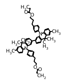 C=CC(=O)OCCCc1ccc(N2c3cc(-c4ccc5c(c4)N(c4ccc(CCCOC(=O)C=C)cc4)c4ccc(C)cc4C5(C)C)ccc3C(C)(C)c3cc(C)ccc32)cc1